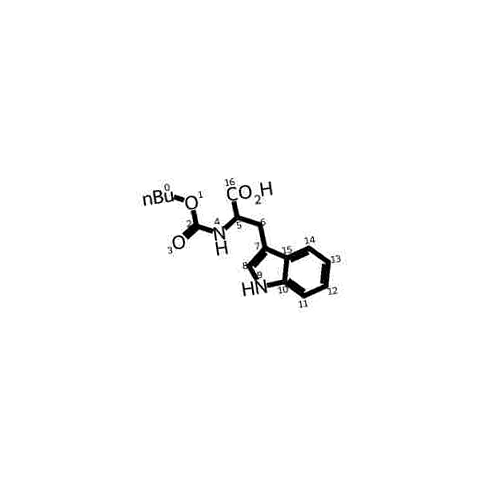 CCCCOC(=O)NC(Cc1c[nH]c2ccccc12)C(=O)O